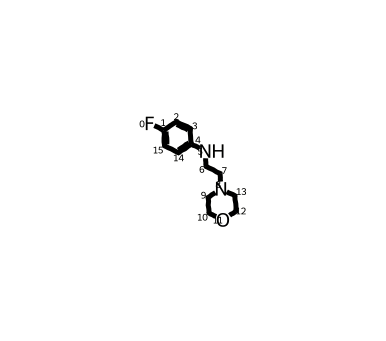 Fc1ccc(NCCN2CCOCC2)cc1